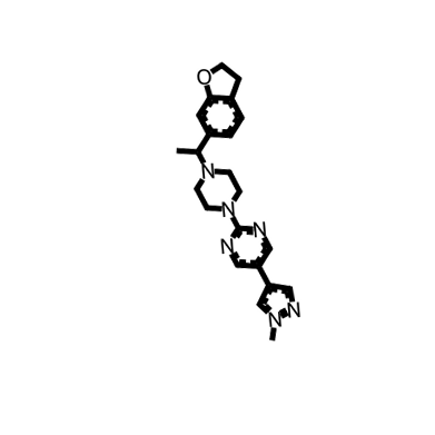 CC(c1ccc2c(c1)OCC2)N1CCN(c2ncc(-c3cnn(C)c3)cn2)CC1